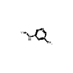 CNNc1cncc(P)c1